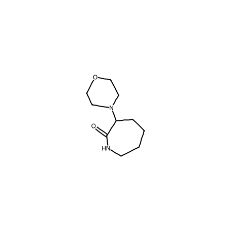 O=C1NCCCCC1N1CCOCC1